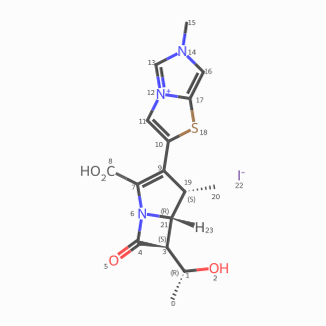 C[C@@H](O)[C@H]1C(=O)N2C(C(=O)O)=C(c3c[n+]4cn(C)cc4s3)[C@H](C)[C@H]12.[I-]